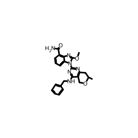 COc1nc2c(C(N)=O)cccc2n1-c1nc2c(c(NCc3ccccc3)n1)COC(C)C2